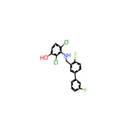 Oc1ccc(Cl)c(NCc2cc(-c3cccc(F)c3)ccc2F)c1Cl